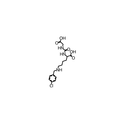 O=C(O)CNC(=O)NC(CCCCNCc1ccc(Cl)cc1)C(=O)O